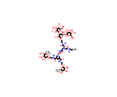 CCCNC(=O)CN(CC(=O)NCCO[C@H]1O[C@H](CO[C@H]2O[C@H](CO)[C@@H](O)[C@H](O)[C@@H]2O)[C@@H](O)[C@H](O[C@H]2O[C@H](CO)[C@@H](O)[C@H](O)[C@@H]2O)[C@@H]1O)CC(=O)NOCN1CC(C(=O)NCCO[C@@H]2O[C@@H](C)[C@@H](O)[C@@H](O)[C@@H]2O)CC(C(=O)NCCO[C@@H]2O[C@@H](C)[C@@H](O)[C@@H](O)[C@@H]2O)C1